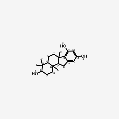 CC12CCC3C(C)(C)C(O)CCC3(C)C1Cc1cc(O)cc(O)c12